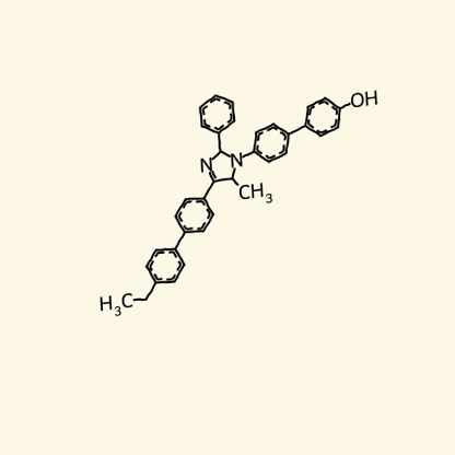 CCc1ccc(-c2ccc(C3=NC(c4ccccc4)N(c4ccc(-c5ccc(O)cc5)cc4)C3C)cc2)cc1